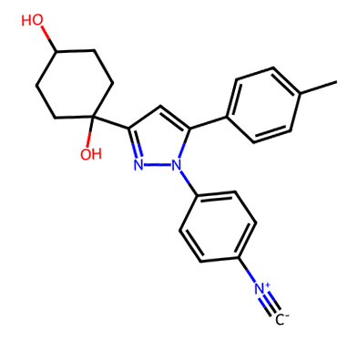 [C-]#[N+]c1ccc(-n2nc(C3(O)CCC(O)CC3)cc2-c2ccc(C)cc2)cc1